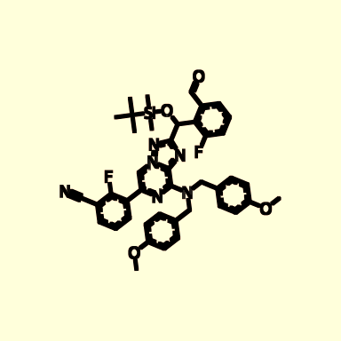 COc1ccc(CN(Cc2ccc(OC)cc2)c2nc(-c3cccc(C#N)c3F)cn3nc(C(O[Si](C)(C)C(C)(C)C)c4c(F)cccc4C=O)nc23)cc1